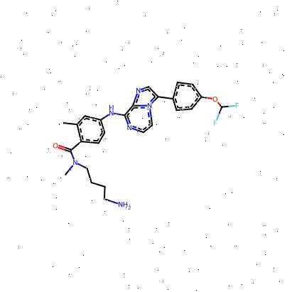 Cc1cc(Nc2nccn3c(-c4ccc(OC(F)F)cc4)cnc23)ccc1C(=O)N(C)CCCCN